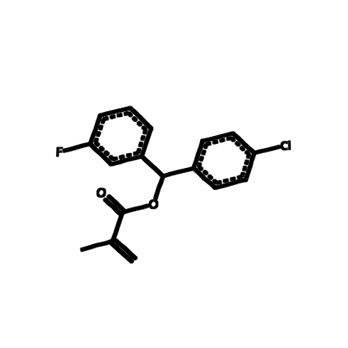 C=C(C)C(=O)OC(c1ccc(Cl)cc1)c1cccc(F)c1